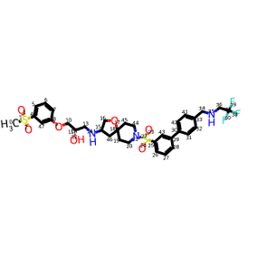 CS(=O)(=O)c1cccc(OC[C@@H](O)CNC2COC3(CCN(S(=O)(=O)c4cccc(-c5ccc(CNCC(F)(F)F)cc5)c4)CC3)C2)c1